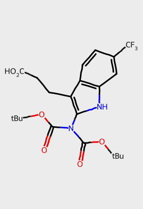 CC(C)(C)OC(=O)N(C(=O)OC(C)(C)C)c1[nH]c2cc(C(F)(F)F)ccc2c1CCC(=O)O